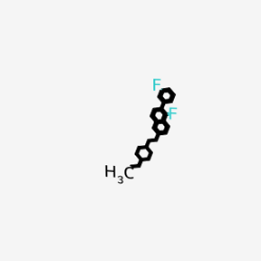 CCCC1CCC(CCc2ccc3c(F)c(-c4cccc(F)c4)ccc3c2)CC1